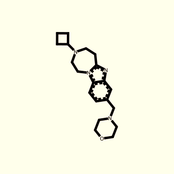 c1cc2c(cc1CN1CCOCC1)nc1n2CCN(C2CCC2)CC1